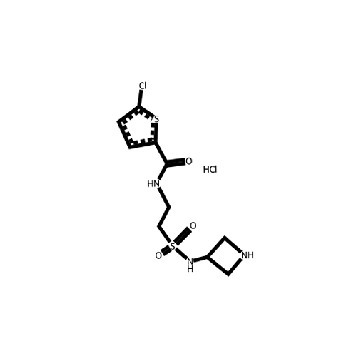 Cl.O=C(NCCS(=O)(=O)NC1CNC1)c1ccc(Cl)s1